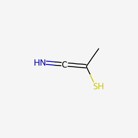 CC(S)=C=N